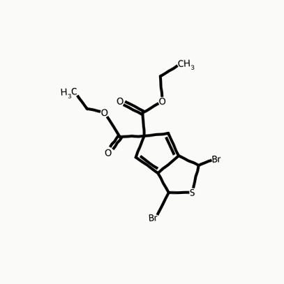 CCOC(=O)C1(C(=O)OCC)C=C2C(=C1)C(Br)SC2Br